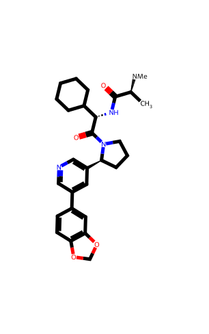 CN[C@@H](C)C(=O)N[C@H](C(=O)N1CCC[C@H]1c1cncc(-c2ccc3c(c2)OCO3)c1)C1CCCCC1